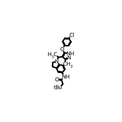 Cc1n[nH]c(Oc2ccc(Cl)cc2)c1C(C)N1CCc2cc(NC(=O)CC(C)(C)C)ccc21